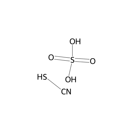 N#CS.O=S(=O)(O)O